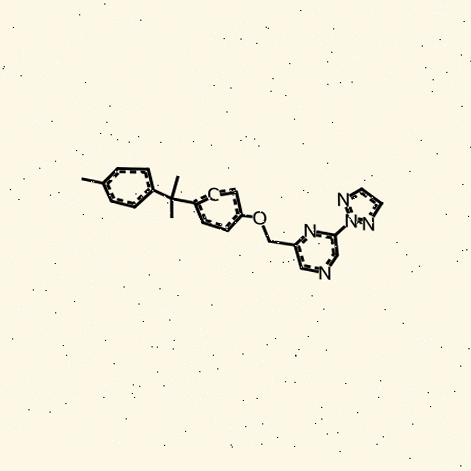 Cc1ccc(C(C)(C)c2ccc(OCc3cncc(-n4nccn4)n3)cc2)cc1